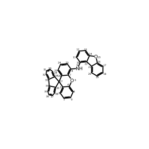 c1ccc2c(c1)Oc1c(Nc3cccc4oc5ccccc5c34)cccc1C21c2ccccc2-c2ccccc21